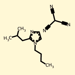 CCCCn1ccnc1CC(C)C.N#CC(C#N)C#N